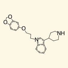 c1ccc2c(c1)c(C1CCNCC1)cn2CCCOc1ccc2c(c1)OCO2